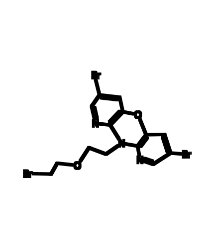 BrCCOCCN1c2ncc(Br)cc2Oc2cc(Br)cnc21